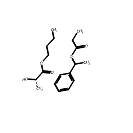 CCC(=O)OC(C)c1ccccc1.CCCCOC(=O)[C@H](C)O